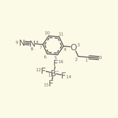 C#CCOc1ccc([N+]#N)cc1.F[B-](F)(F)F